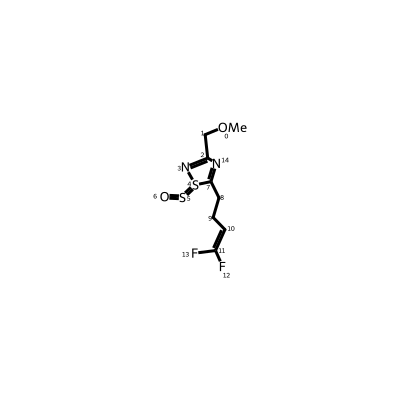 COCC1=NS(=S=O)C(CCC=C(F)F)=N1